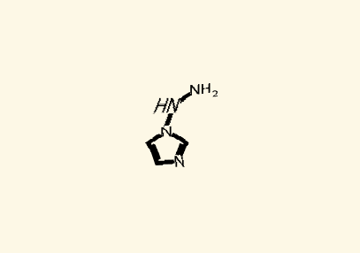 NNn1ccnc1